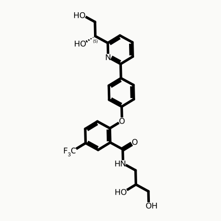 O=C(NCC(O)CO)c1cc(C(F)(F)F)ccc1Oc1ccc(-c2cccc([C@H](O)CO)n2)cc1